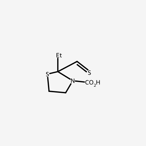 CCC1(C=S)SCCN1C(=O)O